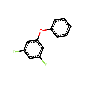 Fc1cc(F)cc(Oc2cc[c]cc2)c1